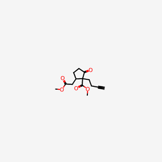 C#CCCC1(C(=O)OC)C(=O)CCC1CC(=O)OC